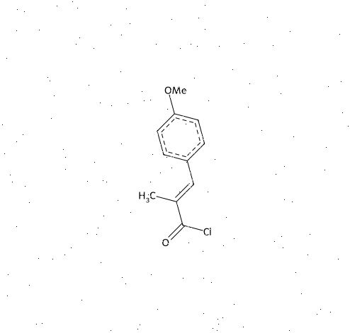 COc1ccc(/C=C(\C)C(=O)Cl)cc1